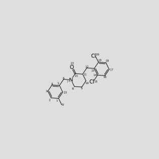 Cc1cccc(CN2CCCC(Cc3c(Cl)cccc3Cl)C2=O)c1